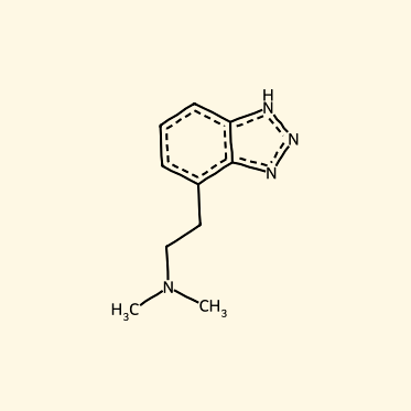 CN(C)CCc1cccc2[nH]nnc12